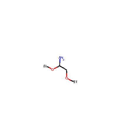 CCOC[C](N)OCC